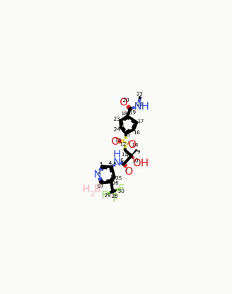 Bc1ncc(NC(=O)[C@@](C)(O)CS(=O)(=O)c2ccc(C(=O)NC)cc2)cc1C(F)(F)F